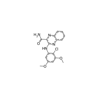 COc1cc(Nc2nc3ccccc3nc2C(N)=O)c(Cl)c(OC)c1